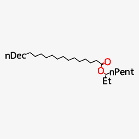 CCCCCCCCCCCCCCCCCCCCCCCC(=O)OC(CC)CCCCC